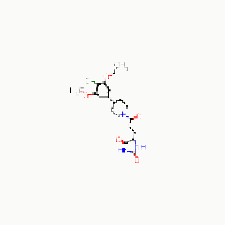 CCOc1cc(C2CCN(C(=O)CC[C@H]3NC(=O)NC3=O)CC2)cc(OC)c1Cl